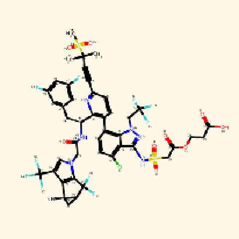 CC(C)(C#Cc1ccc(-c2ccc(Cl)c3c(NS(=O)(=O)CC(=O)OCCC(=O)O)nn(CC(F)(F)F)c23)c([C@H](Cc2cc(F)cc(F)c2)NC(=O)Cn2cc(C(F)(F)F)c3c2C(F)(F)C2C[C@H]32)n1)S(C)(=O)=O